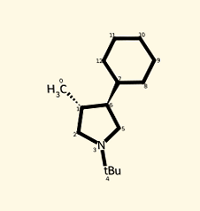 C[C@H]1CN(C(C)(C)C)C[C@@H]1C1CCCCC1